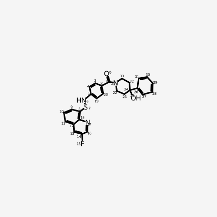 O=C(c1ccc(NSc2cccc3cc(F)cnc23)cc1)N1CCC(O)(c2ccccc2)CC1